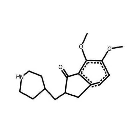 COc1ccc2c(c1OC)C(=O)C(CC1CCNCC1)C2